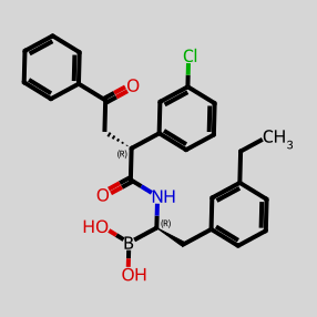 CCc1cccc(C[C@H](NC(=O)[C@H](CC(=O)c2ccccc2)c2cccc(Cl)c2)B(O)O)c1